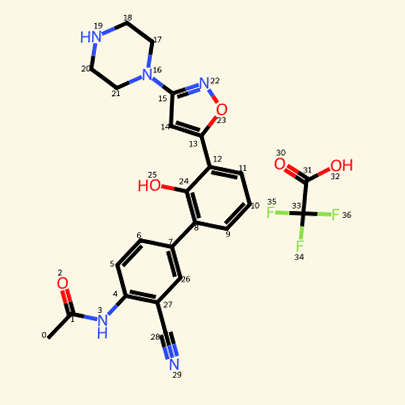 CC(=O)Nc1ccc(-c2cccc(-c3cc(N4CCNCC4)no3)c2O)cc1C#N.O=C(O)C(F)(F)F